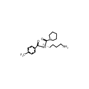 NCCCC[C@H](NC(=O)c1ccc(C(F)(F)F)cc1)C(=O)N1CCCCC1